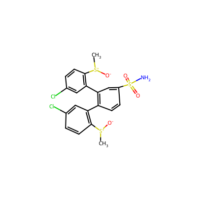 C[S+]([O-])c1ccc(Cl)cc1-c1ccc(S(N)(=O)=O)cc1-c1cc(Cl)ccc1[S+](C)[O-]